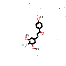 CCOc1ccc(C(=O)C=Cc2cc(OC(C)C)c(C)c(OC(C)C)c2)cc1